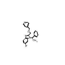 CC(c1ccccc1)n1c(COCc2ccncc2)nc2ccc(Br)cc21